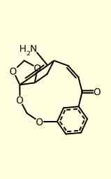 NC1=CC23OCOc4cccc(c4)C(=O)C=CC1CC2OCO3